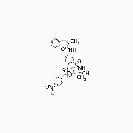 CN(Cc1ccccc1)C(=O)Nc1ccc(-c2cnc(-c3ccc([N+](=O)[O-])cc3)s2)c(S(=O)(=O)NC(C)(C)C)c1